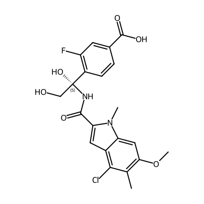 COc1cc2c(cc(C(=O)N[C@@](O)(CO)c3ccc(C(=O)O)cc3F)n2C)c(Cl)c1C